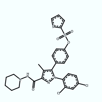 Cc1c(C(=O)NN2CCCCC2)nn(-c2ccc(Cl)cc2Cl)c1-c1ccc(OS(=O)(=O)c2cccs2)cc1